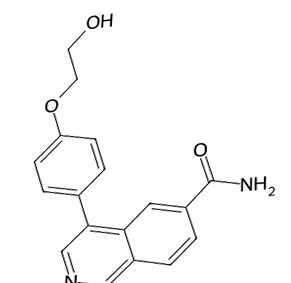 NC(=O)c1ccc2cncc(-c3ccc(OCCO)cc3)c2c1